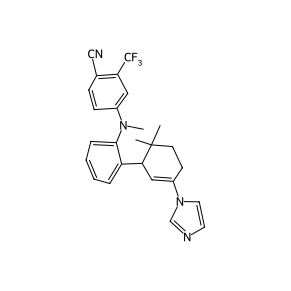 CN(c1ccc(C#N)c(C(F)(F)F)c1)c1ccccc1C1C=C(n2ccnc2)CCC1(C)C